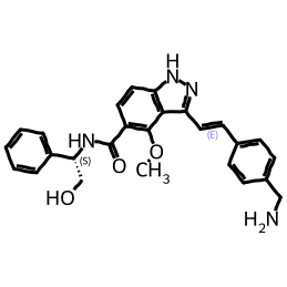 COc1c(C(=O)N[C@H](CO)c2ccccc2)ccc2[nH]nc(/C=C/c3ccc(CN)cc3)c12